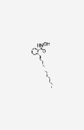 CCCCCCCCCCC=Cc1ccccc1C(=O)NO